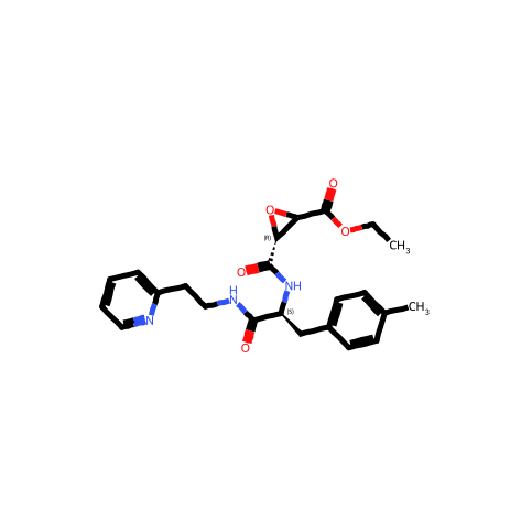 CCOC(=O)C1O[C@H]1C(=O)N[C@@H](Cc1ccc(C)cc1)C(=O)NCCc1ccccn1